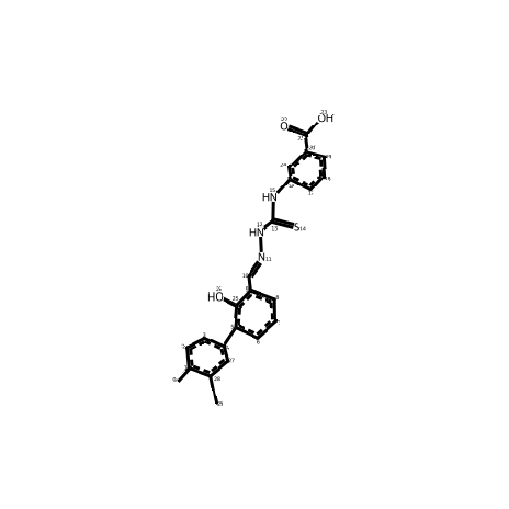 Cc1ccc(-c2cccc(C=NNC(=S)Nc3cccc(C(=O)O)c3)c2O)cc1C